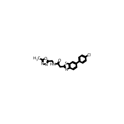 Cc1nnc(CNC(=O)Cc2nc3ccc(-c4ccc(Cl)cc4)cc3s2)o1